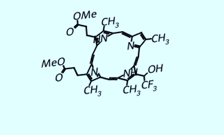 COC(=O)CCC1=C(C)c2cc3[nH]c(cc4nc(cc5[nH]c(cc1n2)c(CCC(=O)OC)c5C)C=C4C)c(C(O)C(F)(F)F)c3C